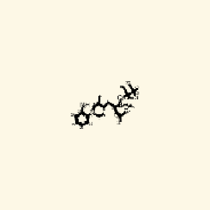 CCN(CC(C)CCC(C=C(C)C)B(OC)OC(C)(C)C(C)(C)C)c1ccccc1N